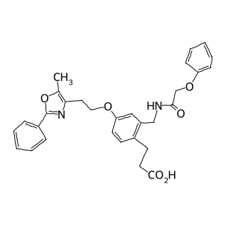 Cc1oc(-c2ccccc2)nc1CCOc1ccc(CCC(=O)O)c(CNC(=O)COc2ccccc2)c1